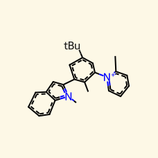 Cc1c(-c2cc3ccccc3n2C)cc(C(C)(C)C)cc1-[n+]1ccccc1C